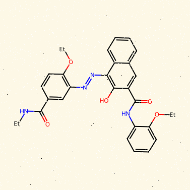 CCNC(=O)c1ccc(OCC)c(/N=N/c2c(O)c(C(=O)Nc3ccccc3OCC)cc3ccccc23)c1